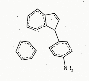 Nc1ccc(C2C=Cc3ccccc32)cc1.c1ccccc1